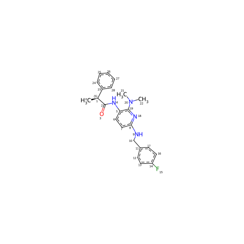 C[C@H](C(=O)Nc1ccc(NCc2ccc(F)cc2)nc1N(C)C)c1ccccc1